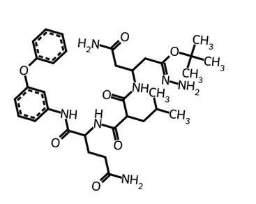 CC(C)CC(C(=O)NC(CC(N)=O)CC(=NN)OC(C)(C)C)C(=O)NC(CCC(N)=O)C(=O)Nc1cccc(Oc2ccccc2)c1